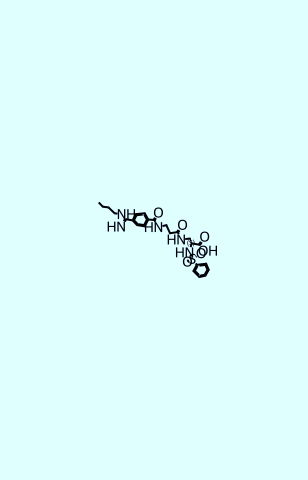 CCCCNC(=N)c1ccc(C(=O)NCCC(=O)NC[C@H](NS(=O)(=O)c2ccccc2)C(=O)O)cc1